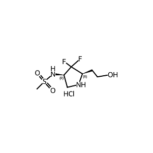 CS(=O)(=O)N[C@@H]1CN[C@H](CCO)C1(F)F.Cl